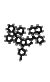 Fc1ccc(-n2c3ccc(N(c4ccccc4)c4cccc5ccccc45)cc3c3cc([Si](c4ccccc4)(c4ccccc4)c4ccccc4)ccc32)cc1